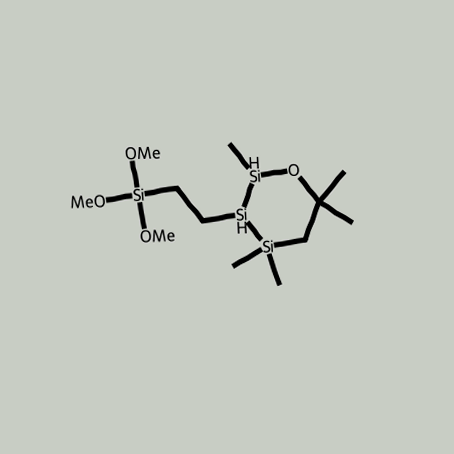 CO[Si](CC[SiH]1[SiH](C)OC(C)(C)C[Si]1(C)C)(OC)OC